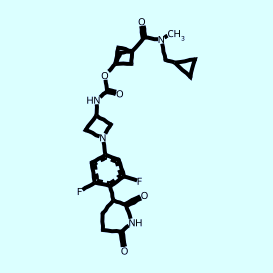 CN(CC1CC1)C(=O)C12CC(OC(=O)NC3CN(c4cc(F)c(C5CCC(=O)NC5=O)c(F)c4)C3)(C1)C2